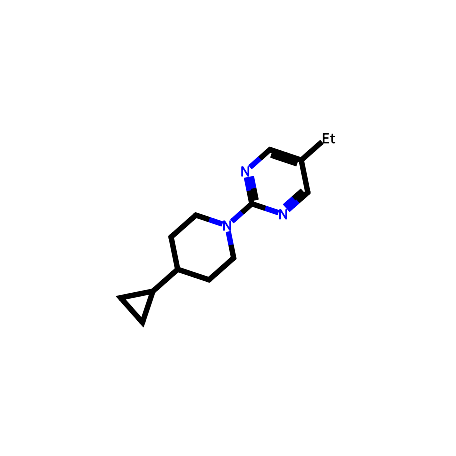 CCc1cnc(N2CCC(C3CC3)CC2)nc1